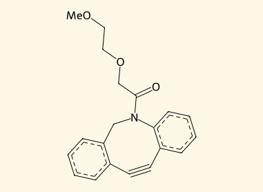 COCCOCC(=O)N1Cc2ccccc2C#Cc2ccccc21